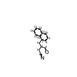 N#CCC(C=O)Cc1cccc2ccccc12